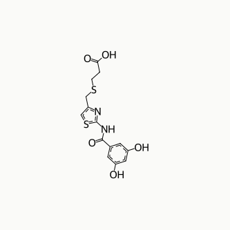 O=C(O)CCSCc1csc(NC(=O)c2cc(O)cc(O)c2)n1